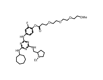 CCN1CCCC1CNc1nc(Nc2ccc(OC(=O)CCOCCOCCOCCOC)c(F)c2)nc(NC2CCCCCC2)n1